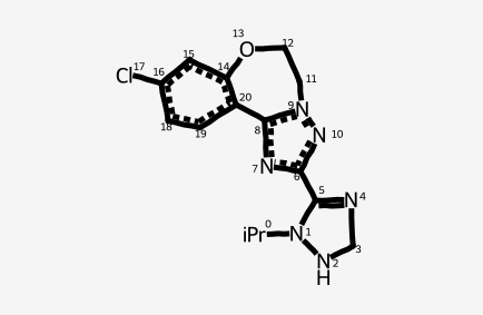 CC(C)N1NCN=C1c1nc2n(n1)CCOc1cc(Cl)ccc1-2